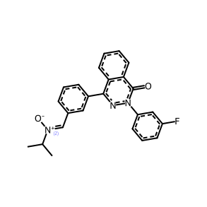 CC(C)/[N+]([O-])=C/c1cccc(-c2nn(-c3cccc(F)c3)c(=O)c3ccccc23)c1